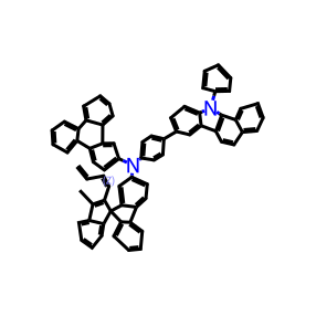 C=C/C=C\C1=C(C)c2ccccc2C12c1ccccc1-c1ccc(N(c3ccc(-c4ccc5c(c4)c4ccc6ccccc6c4n5-c4ccccc4)cc3)c3ccc4c5ccccc5c5ccccc5c4c3)cc12